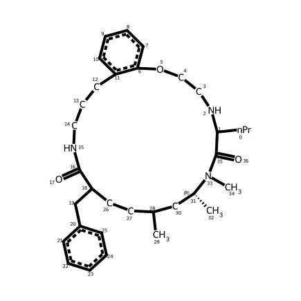 CCCC1NCCOc2ccccc2CCCNC(=O)C(Cc2ccccc2)CCC(C)C[C@@H](C)N(C)C1=O